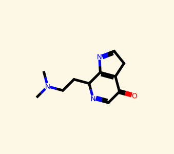 CN(C)CCC1N=CC(=O)C2=C1N=CC2